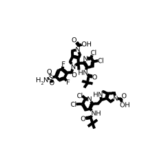 CC(C)(C)C(=O)Nc1cc(Cl)c(Cl)nc1C1(C)C2=C(CN(C(=O)O)C2)CN1C(=O)c1c(F)cc(S(N)(=O)=O)cc1F.CC(C)(C)C(=O)Nc1cc(Cl)c(Cl)nc1CC1NCC2=C1CN(C(=O)O)C2